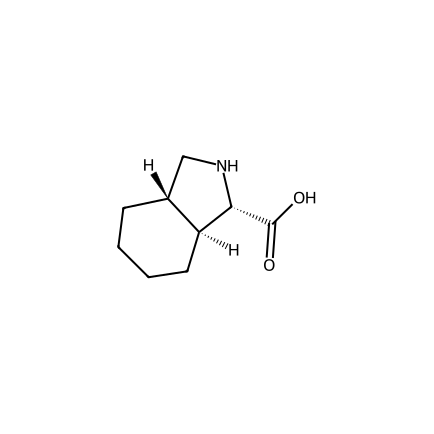 O=C(O)[C@H]1NC[C@H]2CCCC[C@@H]21